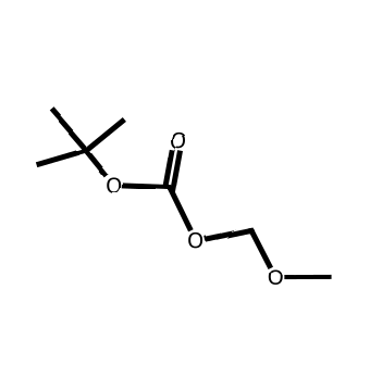 COCOC(=O)OC(C)(C)C